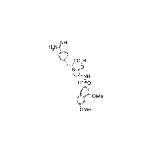 COc1ccc2cc(S(=O)(=O)NC3CCN(C(Cc4ccc(C(=N)N)cc4)C(=O)O)C3=O)cc(OC)c2c1